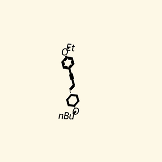 CCCCO[C@H]1CC[C@H](C=CC#Cc2ccc(OCC)cc2)CC1